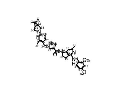 COc1ccc(CNc2nc(C)cc3c2CCC3NC(=O)c2cn(Cc3cnc(N4CC5C(C4)C5(F)F)nc3C)nn2)c(OC)c1